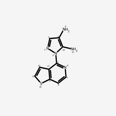 Nc1cnn(-c2nccc3sccc23)c1N